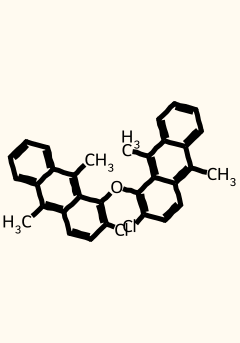 Cc1c2ccccc2c(C)c2c(Oc3c(Cl)ccc4c(C)c5ccccc5c(C)c34)c(Cl)ccc12